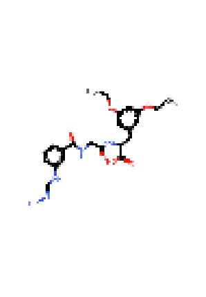 CCOc1cc(CC(NC(=O)CNC(=O)c2cccc(NC=NN)c2)C(=O)O)cc(OCC)c1